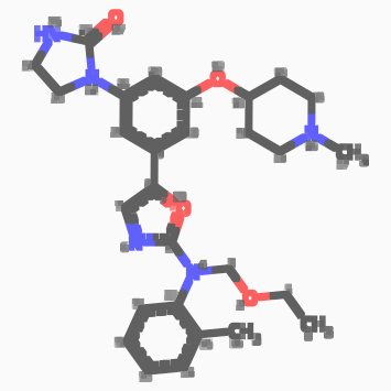 CCOCN(c1ncc(-c2cc(OC3CCN(C)CC3)cc(N3CCNC3=O)c2)o1)c1ccccc1C